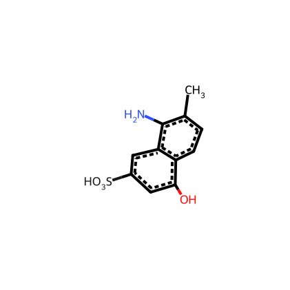 Cc1ccc2c(O)cc(S(=O)(=O)O)cc2c1N